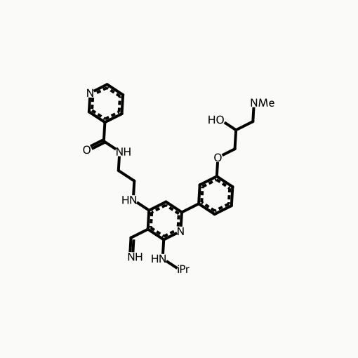 CNCC(O)COc1cccc(-c2cc(NCCNC(=O)c3cccnc3)c(C=N)c(NC(C)C)n2)c1